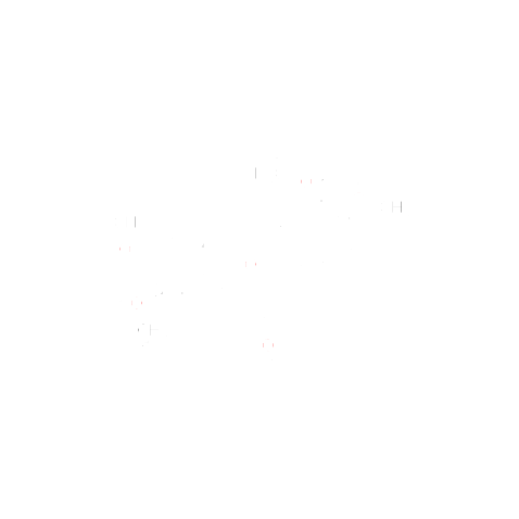 COc1ccc(-c2cc(=O)cc(-c3ccc(OC)c(OC)c3)o2)cc1OC